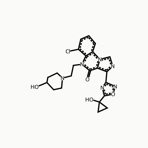 O=c1c2c(-c3noc(C4(O)CC4)n3)ncn2c2cccc(Cl)c2n1CCN1CCC(O)CC1